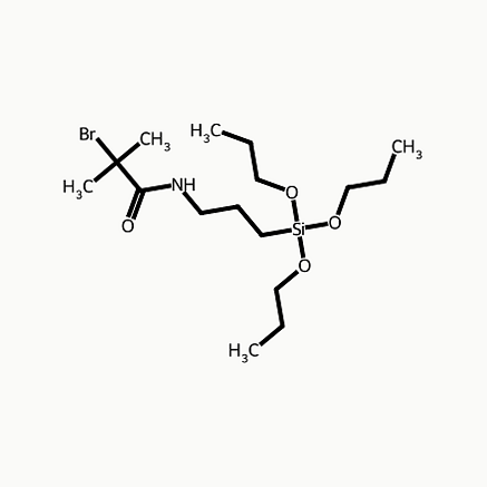 CCCO[Si](CCCNC(=O)C(C)(C)Br)(OCCC)OCCC